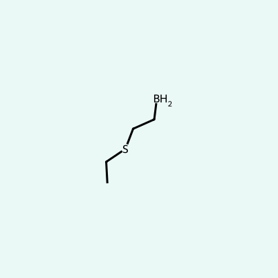 BCCSCC